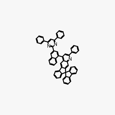 c1ccc(-c2cc(-c3ccccc3)nc(-c3cc(-c4cc(-c5ccccc5)nc5cc6c(cc45)-c4ccccc4C64c5ccccc5-c5ccccc54)c4ccccc4c3)n2)cc1